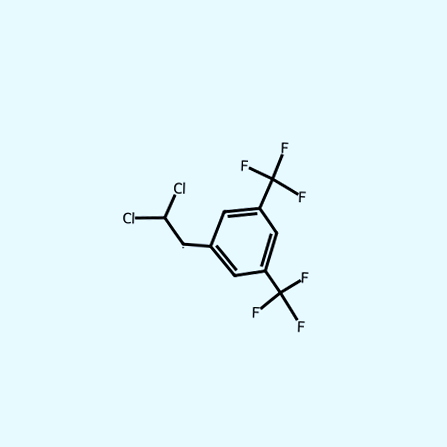 FC(F)(F)c1cc([CH]C(Cl)Cl)cc(C(F)(F)F)c1